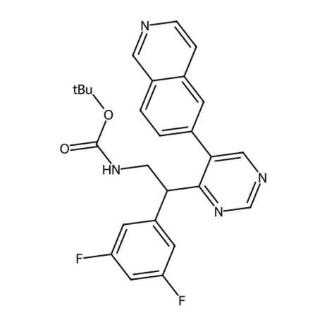 CC(C)(C)OC(=O)NCC(c1cc(F)cc(F)c1)c1ncncc1-c1ccc2cnccc2c1